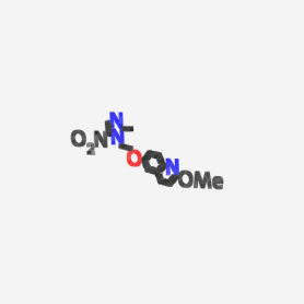 COc1ccc2cc(OCCn3c([N+](=O)[O-])cnc3C)ccc2n1